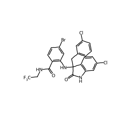 O=C(NCC(F)(F)F)c1ccc(Br)cc1NC1(Cc2cccc(Cl)c2)C(=O)Nc2cc(Cl)ccc21